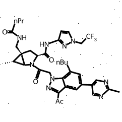 CCCCc1cc(-c2cnc(C)nc2)cc2c(C(C)=O)nn(CC(=O)N3C4[C@H](C)[C@]4(CNC(=O)CCC)C[C@H]3C(=O)Nc3ccn(CC(F)(F)F)n3)c12